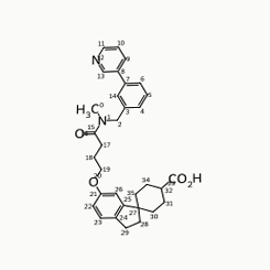 CN(Cc1cccc(-c2cccnc2)c1)C(=O)CCCOc1ccc2c(c1)C1(CC2)CCC(C(=O)O)CC1